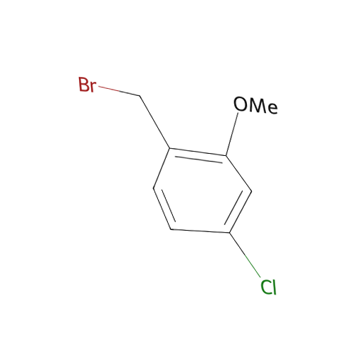 COc1cc(Cl)ccc1CBr